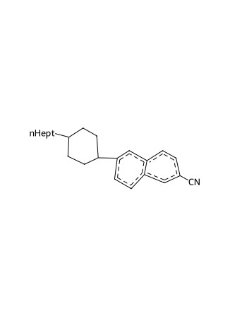 CCCCCCCC1CCC(c2ccc3cc(C#N)ccc3c2)CC1